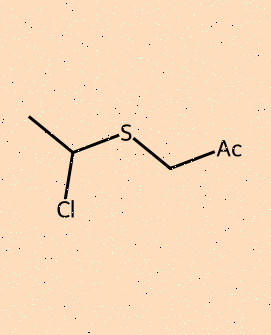 CC(=O)CSC(C)Cl